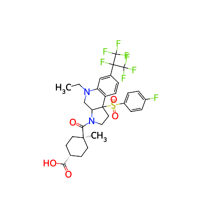 CCN1CC2N(C(=O)[C@]3(C)CC[C@@H](C(=O)O)CC3)CCC2(S(=O)(=O)c2ccc(F)cc2)c2ccc(C(F)(C(F)(F)F)C(F)(F)F)cc21